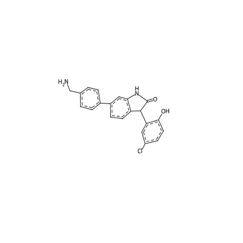 NCc1ccc(-c2ccc3c(c2)NC(=O)C3c2cc(Cl)ccc2O)cc1